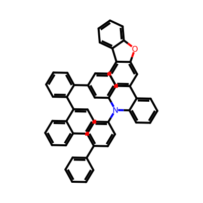 c1ccc(-c2ccc(N(c3cccc(-c4ccccc4-c4cccc5ccccc45)c3)c3ccccc3-c3ccc4c(c3)oc3ccccc34)cc2)cc1